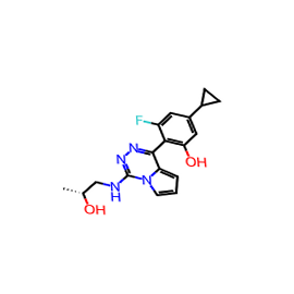 C[C@@H](O)CNc1nnc(-c2c(O)cc(C3CC3)cc2F)c2cccn12